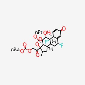 CCCCOC(=O)OCC(=O)[C@@]1(OC(=O)OCCC)[C@H](C)C[C@H]2[C@@H]3C[C@H](F)C4=CC(=O)C=C[C@]4(C)[C@@]3(F)[C@@H](O)C[C@@]21C